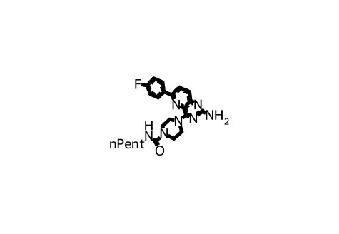 CCCCCNC(=O)N1CCN(c2nc(N)nc3ccc(-c4ccc(F)cc4)nc23)CC1